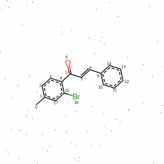 Cc1ccc(C(=O)/C=C/c2ccccc2)c(Br)c1